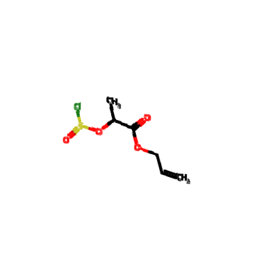 C=CCOC(=O)C(C)OS(=O)Cl